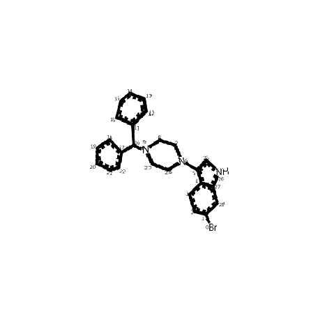 Brc1ccc2c(N3CCN(C(c4ccccc4)c4ccccc4)CC3)[c][nH]c2c1